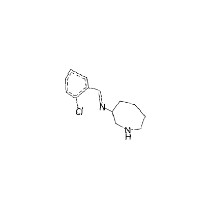 Clc1ccccc1C=NC1CCCCNC1